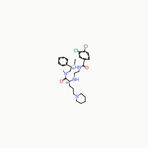 CC[C@H](CN(C)C(=O)[C@H](CCCN1CCCCC1)NCCNC(=O)c1ccc(Cl)c(Cl)c1)c1ccccc1